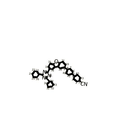 N#Cc1ccc(-c2ccc(-c3ccc4oc5ccc(-c6nc(-c7ccccc7)nc(-c7ccccc7)n6)cc5c4c3)cc2)cc1